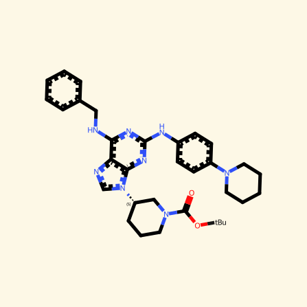 CC(C)(C)OC(=O)N1CCC[C@H](n2cnc3c(NCc4ccccc4)nc(Nc4ccc(N5CCCCC5)cc4)nc32)C1